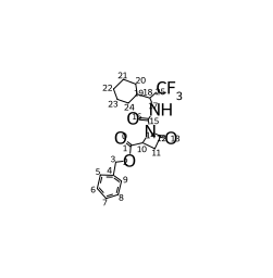 O=C(OCc1ccccc1)C1CC(=O)N1C(=O)NC(C1CCCCC1)C(F)(F)F